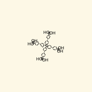 OB(O)c1ccc(-c2ccc([Si](c3ccc(-c4ccc(B(O)O)cc4)cc3)(c3ccc(-c4ccc(B(O)O)cc4)cc3)c3ccc(-c4ccc(B(O)O)cc4)cc3)cc2)cc1